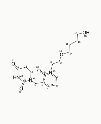 O=C1CCN(Cc2cccn(CCOCCCCO)c2=O)C(=O)N1